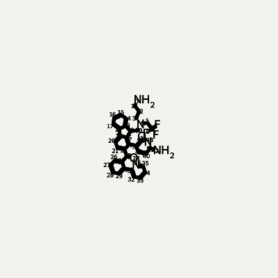 NCCCN(CC(F)(F)F)C(=O)C1c2ccccc2-c2ccc(C(=O)c3ccccc3-c3ccccn3)c(-c3ccc(N)nc3)c21